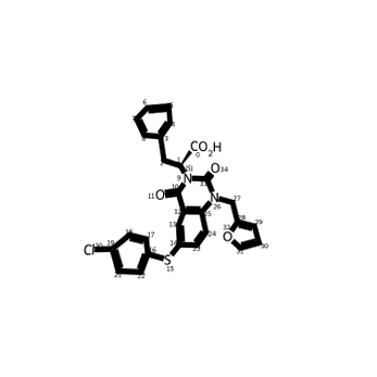 O=C(O)[C@H](Cc1ccccc1)n1c(=O)c2cc(Sc3ccc(Cl)cc3)ccc2n(Cc2ccco2)c1=O